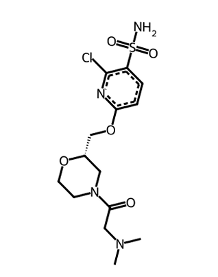 CN(C)CC(=O)N1CCO[C@H](COc2ccc(S(N)(=O)=O)c(Cl)n2)C1